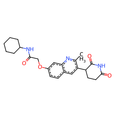 Cc1nc2cc(OCC(=O)NC3CCCCC3)ccc2cc1C1CCC(=O)NC1=O